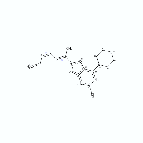 C=C/C=C\C=C(/C)c1cc2nc(Cl)nc(N3CCOCC3)c2o1